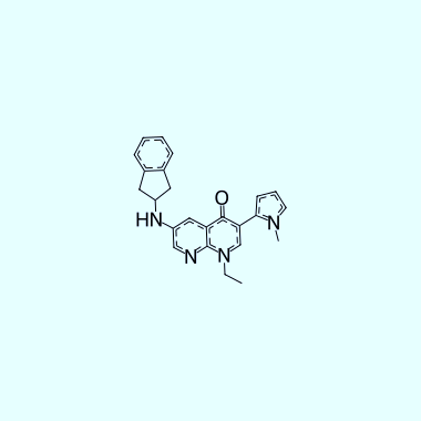 CCn1cc(-c2cccn2C)c(=O)c2cc(NC3Cc4ccccc4C3)cnc21